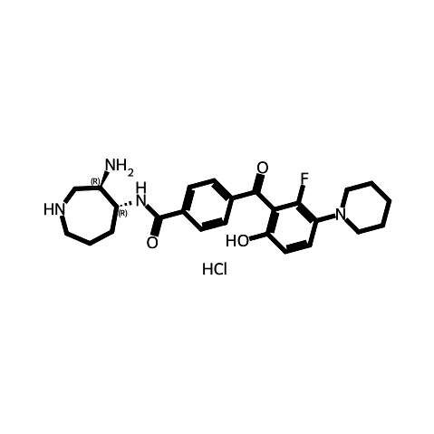 Cl.N[C@@H]1CNCCC[C@H]1NC(=O)c1ccc(C(=O)c2c(O)ccc(N3CCCCC3)c2F)cc1